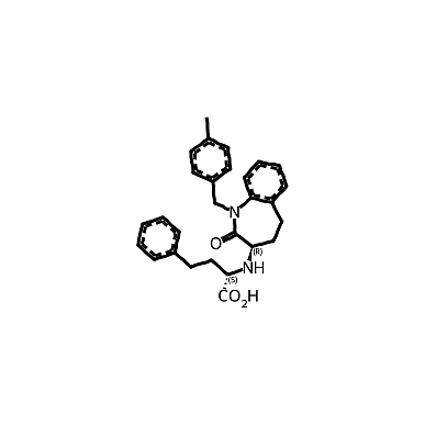 Cc1ccc(CN2C(=O)[C@H](N[C@@H](CCc3ccccc3)C(=O)O)CCc3ccccc32)cc1